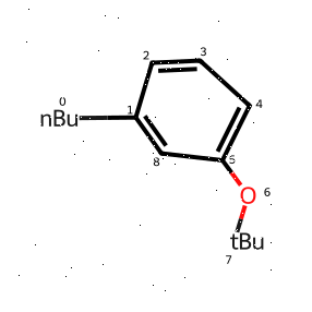 CCCCc1cccc(OC(C)(C)C)c1